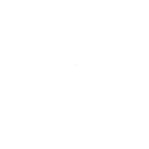 O=C(CCC(=O)C1CCCCCCCCCCCCCCCCCCCCCCCCC1)NCCOCCOCCOCCOCCOCCS